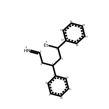 CCC(CC(CC=N)c1ccccc1)c1ccccc1